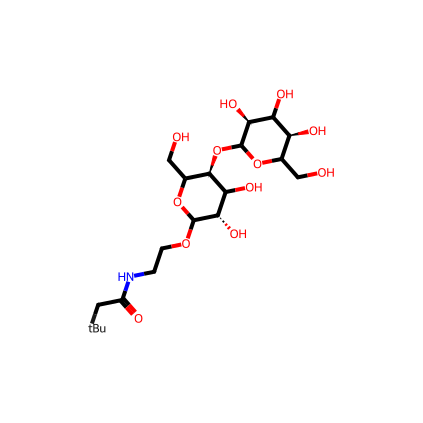 CC(C)(C)CC(=O)NCCOC1OC(CO)[C@@H](OC2OC(CO)[C@H](O)C(O)[C@@H]2O)C(O)[C@@H]1O